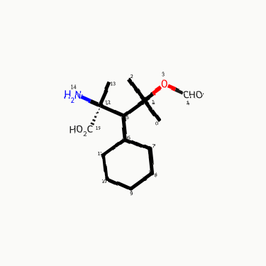 CC(C)(O[C]=O)C(C1CCCCC1)[C@](C)(N)C(=O)O